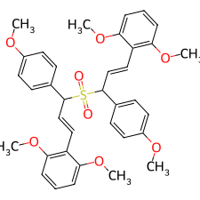 COc1ccc(C(/C=C/c2c(OC)cccc2OC)S(=O)(=O)C(/C=C/c2c(OC)cccc2OC)c2ccc(OC)cc2)cc1